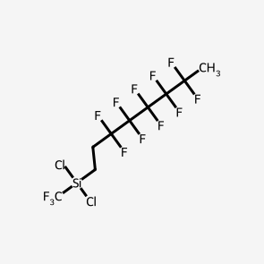 CC(F)(F)C(F)(F)C(F)(F)C(F)(F)C(F)(F)CC[Si](Cl)(Cl)C(F)(F)F